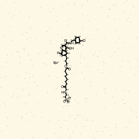 O=C(CCCCCCC(=O)OCCCc1cc(F)c2ncc(C(=O)NCc3ccc(Cl)cc3)c(O)c2c1)CNCCS(=O)(=O)[O-].[Na+]